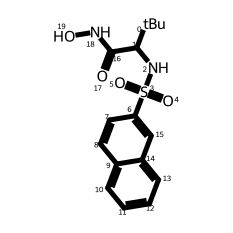 CC(C)(C)C(NS(=O)(=O)c1ccc2ccccc2c1)C(=O)NO